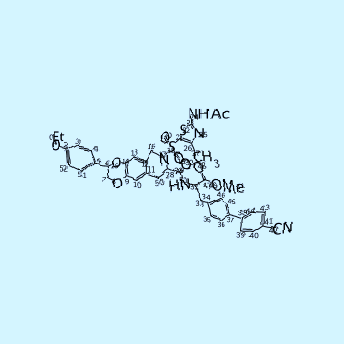 CCOc1ccc(C2COc3cc4c(cc3O2)CN(S(=O)(=O)c2sc(NC(C)=O)nc2C)C(C(=O)NC(Cc2ccc(-c3ccc(C#N)cc3)cc2)C(=O)OC)C4)cc1